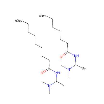 CCCCCCCCCCCCCCCC(=O)NC(CC)N(C)C.CCCCCCCCCCCCCCCCCC(=O)NC(C)N(C)C